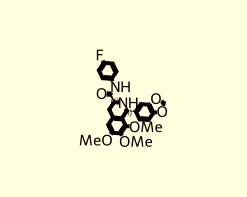 COc1cc2c(c(OC)c1OC)[C@@H](c1ccc3c(c1)OCO3)N[C@H](C(=O)Nc1ccc(F)cc1)C2